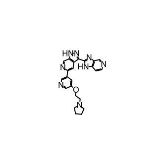 c1cc2[nH]c(-c3n[nH]c4cnc(-c5cncc(OCCN6CCCC6)c5)cc34)nc2cn1